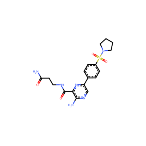 NC(=O)CCNC(=O)c1nc(-c2ccc(S(=O)(=O)N3CCCC3)cc2)cnc1N